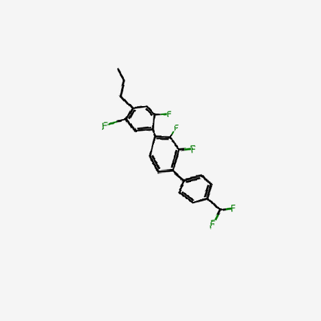 CCCc1cc(F)c(-c2ccc(-c3ccc(C(F)F)cc3)c(F)c2F)cc1F